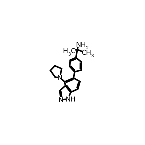 CC(C)(N)c1ccc(-c2ccc3[nH]ncc3c2N2CCCC2)cc1